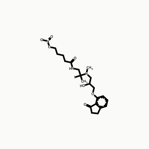 CN(CC(O)COc1cccc2c1C(=O)CC2)C(C)(I)CNC(=O)CCCCO[N+](=O)[O-]